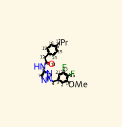 COc1cc(Cn2ncc(NC(=O)Cc3ccc(C(C)C)cc3)n2)cc(F)c1F